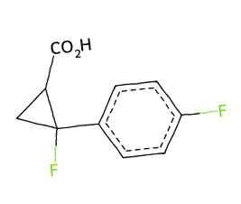 O=C(O)C1CC1(F)c1ccc(F)cc1